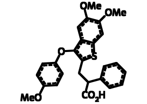 COc1ccc(Oc2c(CC(C(=O)O)c3ccccc3)sc3cc(OC)c(OC)cc23)cc1